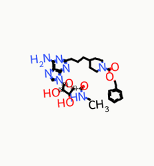 CCNC(=O)[C@H]1O[C@@H](n2cnc3c(N)nc(CCCC4CCN(C(=O)OCc5ccccc5)CC4)nc32)[C@@H](O)C1O